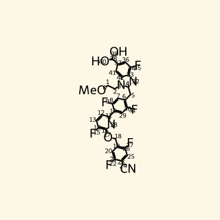 COCCn1c(Cc2cc(F)c(-c3ccc(F)c(OCc4cc(F)c(C#N)cc4F)n3)cc2F)nc2c(F)cc(C(O)O)cc21